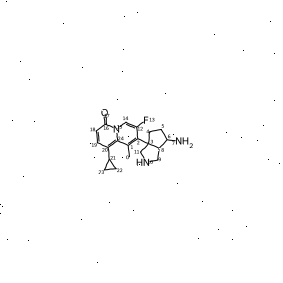 Cc1c(C23CCC(N)C2CNC3)c(F)cn2c(=O)ccc(C3CC3)c12